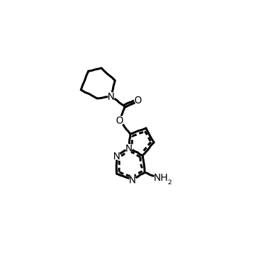 Nc1ncnn2c(OC(=O)N3CCCCC3)ccc12